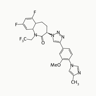 COc1cc(-c2cn([C@@H]3CCC4C(F)=CC(F)=CC4N(CC(F)(F)F)C3=O)nn2)ccc1-n1cnc(C)c1